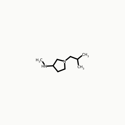 CNC1CCN(C[C](C)C)C1